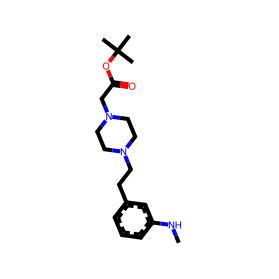 CNc1cccc(CCN2CCN(CC(=O)OC(C)(C)C)CC2)c1